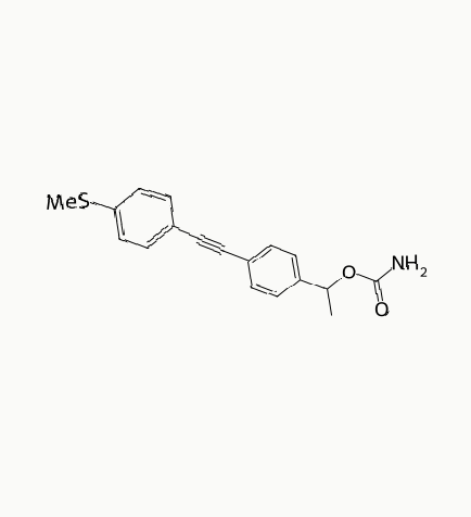 CSc1ccc(C#Cc2ccc(C(C)OC(N)=O)cc2)cc1